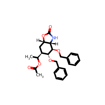 CC(=O)OC(C)[C@H]1C[C@@H]2OC(=O)N[C@@H]2[C@@H](OCc2ccccc2)[C@@H]1OCc1ccccc1